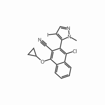 Cn1ncc(I)c1-c1c(C#N)c(OC2CC2)c2ccccc2c1Cl